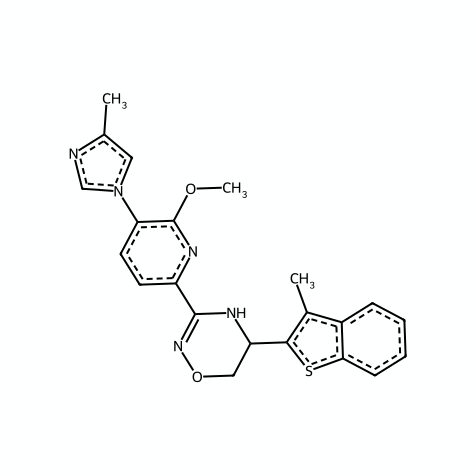 COc1nc(C2=NOCC(c3sc4ccccc4c3C)N2)ccc1-n1cnc(C)c1